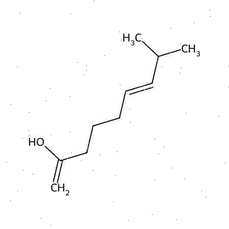 C=C(O)CCCC=CC(C)C